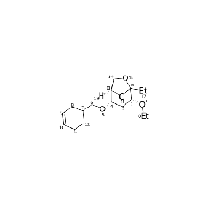 CCO[C@@H]1C[C@H](OCC2CC=CCC2)[C@H]2COC1(CC)O2